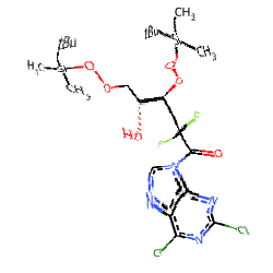 CC(C)(C)[Si](C)(C)OOC[C@@H](O)[C@@H](OO[Si](C)(C)C(C)(C)C)C(F)(F)C(=O)n1cnc2c(Cl)nc(Cl)nc21